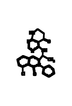 CC(Nc1ncnc2c1C(=O)CCN2)c1cc2cccc(Cl)c2c(=O)n1-c1ccccc1